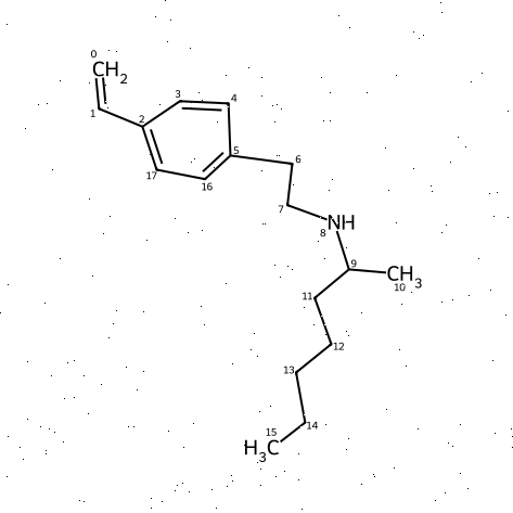 C=Cc1ccc(CCNC(C)CCCCC)cc1